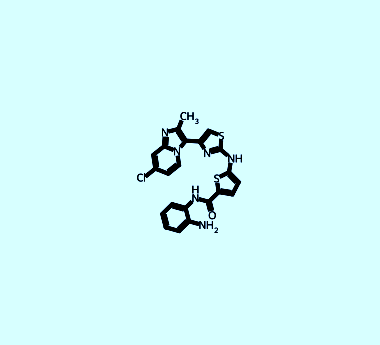 Cc1nc2cc(Cl)ccn2c1-c1csc(Nc2ccc(C(=O)Nc3ccccc3N)s2)n1